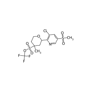 CC1(S(=O)(=O)OC(F)(F)F)CCOC(c2ncc(S(C)(=O)=O)cc2Cl)C1